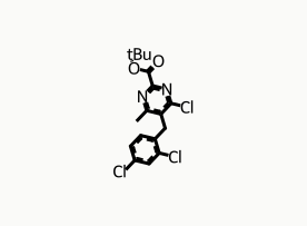 Cc1nc(C(=O)OC(C)(C)C)nc(Cl)c1Cc1ccc(Cl)cc1Cl